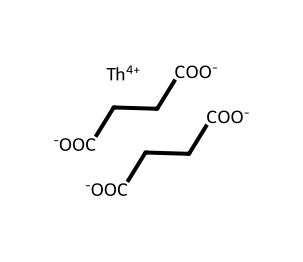 O=C([O-])CCC(=O)[O-].O=C([O-])CCC(=O)[O-].[Th+4]